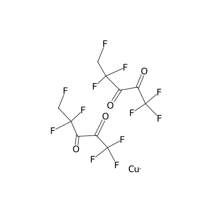 O=C(C(=O)C(F)(F)CF)C(F)(F)F.O=C(C(=O)C(F)(F)CF)C(F)(F)F.[Cu]